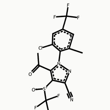 CC(=O)c1c([S+]([O-])C(F)(F)F)c(C#N)nn1-c1c(C)cc(C(F)(F)F)cc1Cl